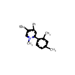 Cc1ccc(-c2cc(C(C)C)c(C(C)(C)C)c[n+]2C)c(C)c1